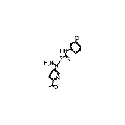 CC(=O)c1ccc(N(N)CSC(=S)Nc2cccc(Cl)c2)cn1